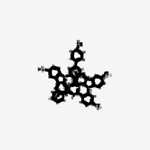 Cc1ccc2c(c1)c1cc(C)ccc1n2-c1cc(-c2ccc(C#N)cc2)ccc1-c1nc(-c2ccccc2)nc(-c2ccc(C(F)(F)F)cc2-n2c3ccc(C)cc3c3cc(C)ccc32)n1